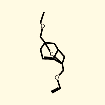 C=COCC12CC3CC(COCC)(CC=C31)C2